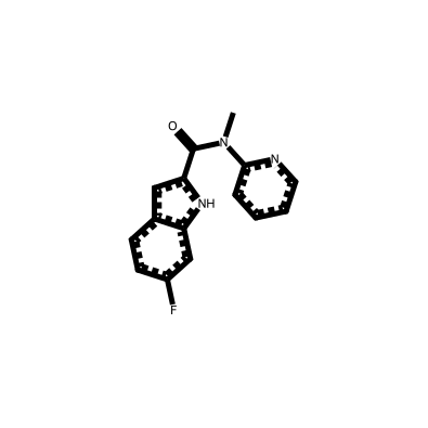 CN(C(=O)c1cc2ccc(F)cc2[nH]1)c1ccccn1